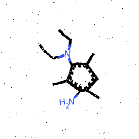 CCN(CC)c1c(C)cc(C)c(N)c1C